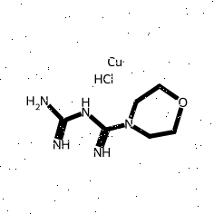 Cl.N=C(N)NC(=N)N1CCOCC1.[Cu]